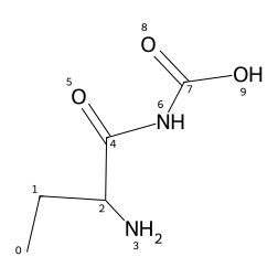 CCC(N)C(=O)NC(=O)O